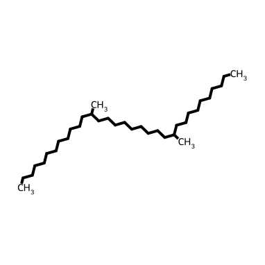 CCCCCCCCCCCCC(C)CCCCCCCCCC(C)CCCCCCCCCC